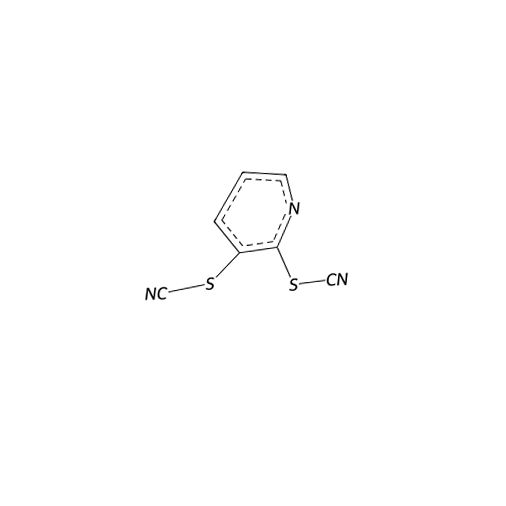 N#CSc1cccnc1SC#N